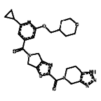 O=C(c1cc(OCC2CCOCC2)nc(C2CC2)c1)N1Cc2nc(C(=O)N3CCc4[nH]nnc4C3)oc2C1